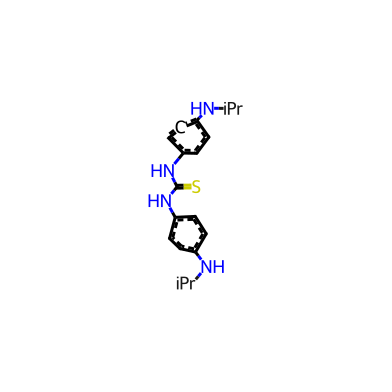 CC(C)Nc1ccc(NC(=S)Nc2ccc(NC(C)C)cc2)cc1